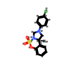 O=S1(=O)Oc2ccccc2[C@@H]2CN(c3ccc(Cl)cc3)CN21